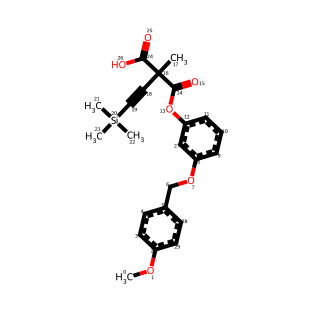 COc1ccc(COc2cccc(OC(=O)C(C)(C#C[Si](C)(C)C)C(=O)O)c2)cc1